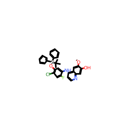 COc1cc2c(Nc3cc(O[Si](c4ccccc4)(c4ccccc4)C(C)(C)C)c(Cl)cc3F)ccnc2cc1O